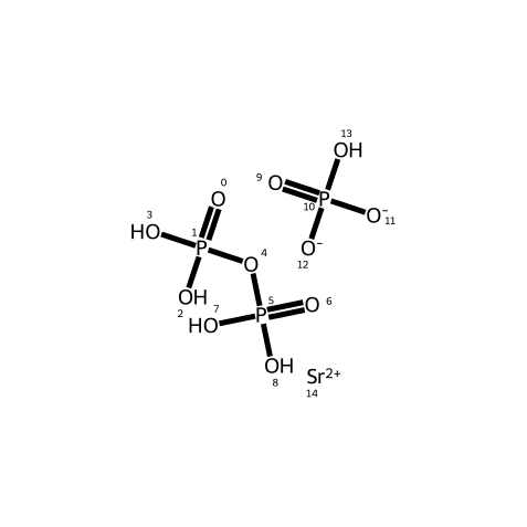 O=P(O)(O)OP(=O)(O)O.O=P([O-])([O-])O.[Sr+2]